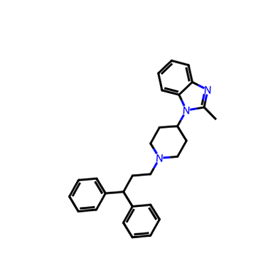 Cc1nc2ccccc2n1C1CCN(CCC(c2ccccc2)c2ccccc2)CC1